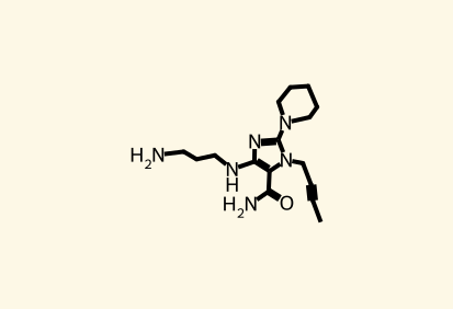 CC#CCn1c(N2CCCCC2)nc(NCCCN)c1C(N)=O